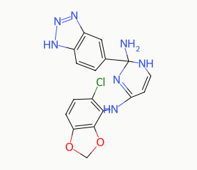 NC1(c2ccc3[nH]nnc3c2)N=C(Nc2c(Cl)ccc3c2OCO3)C=CN1